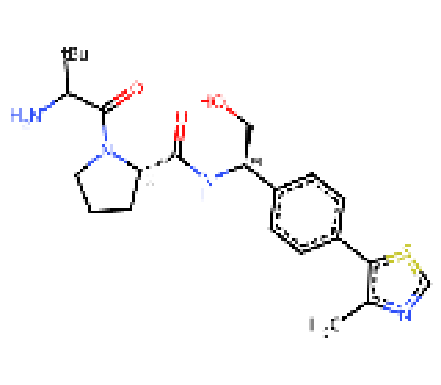 Cc1ncsc1-c1ccc([C@H](CO)NC(=O)[C@@H]2CCCN2C(=O)C(N)C(C)(C)C)cc1